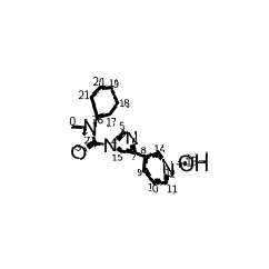 CN(C(=O)n1cnc(-c2ccc[n+](O)c2)c1)C1CCCCC1